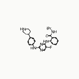 CC(C)NC(=O)c1ccccc1Nc1nc(Nc2ccc(C3CCNCC3)cc2)ncc1F